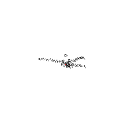 CCCCCCCCCCCCCCCCCCCC(=O)OCC(C)(COC(=O)CCCCCCCCCCC)C(OC(=O)CCCCCCCCCCC)[N+](C)(C)C.[Cl-]